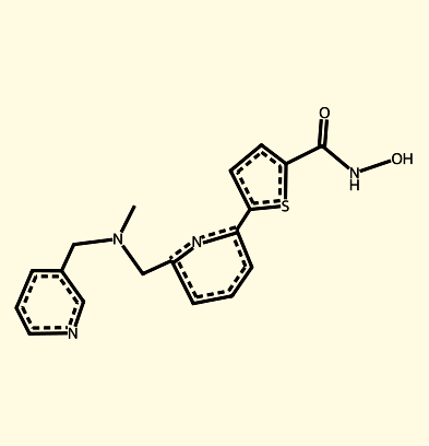 CN(Cc1cccnc1)Cc1cccc(-c2ccc(C(=O)NO)s2)n1